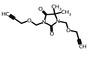 C#CCOCN1C(=O)N(COCC#C)C(C)(C)C1=O